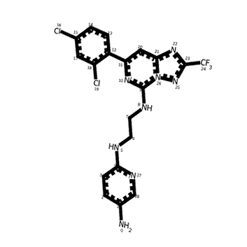 Nc1ccc(NCCNc2nc(-c3ccc(Cl)cc3Cl)cc3nc(C(F)(F)F)nn23)nc1